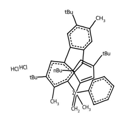 Cl.Cl.[CH2]=[Zr]([CH3])([C]1=CC(C(C)(C)C)=CC1CCCC)([c]1ccccc1)[c]1c(C)c(C(C)(C)C)cc2c1Cc1cc(C)c(C(C)(C)C)cc1-2